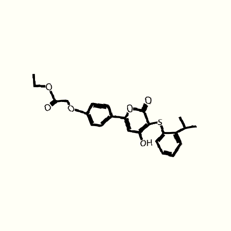 CCOC(=O)COc1ccc(-c2cc(O)c(Sc3ccccc3C(C)C)c(=O)o2)cc1